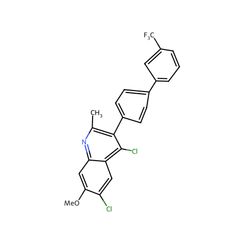 COc1cc2nc(C)c(-c3ccc(-c4cccc(C(F)(F)F)c4)cc3)c(Cl)c2cc1Cl